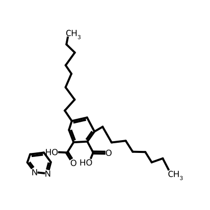 CCCCCCCCc1cc(CCCCCCCC)c(C(=O)O)c(C(=O)O)c1.c1ccnnc1